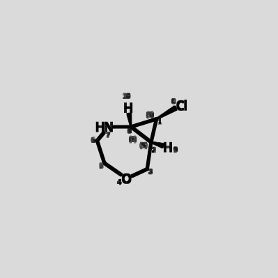 Cl[C@H]1[C@@H]2COCCN[C@H]12